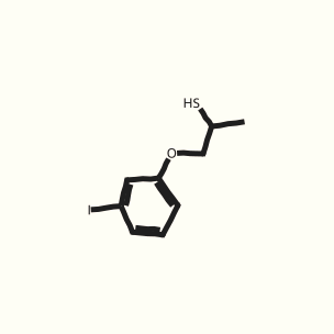 CC(S)COc1cccc(I)c1